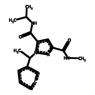 CNC(=O)c1cc(C(=O)NC(C)C)n(C(C)c2ccccc2)n1